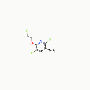 O=[N+]([O-])c1cc(F)c(OCCF)nc1F